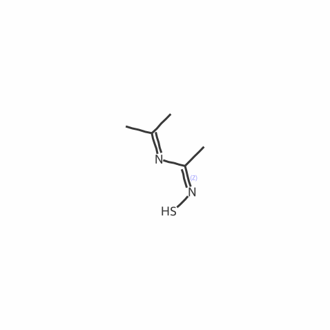 CC(C)=N/C(C)=N\S